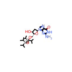 CC(C)[SiH](O[Si](OC[C@H]1O[C@@H](n2cnc3c(=O)[nH]c(N)nc32)C[C@@H]1O)(C(C)C)C(C)C)C(C)C